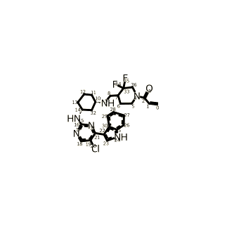 C=CC(=O)N1CCC(CN[C@H]2CCC[C@@H](Nc3ncc(Cl)c(-c4c[nH]c5ccccc45)n3)C2)C(F)(F)C1